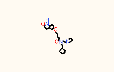 O=C(CCCCOc1ccc2[nH]c(=O)ccc2c1)N(CCC1CCCCC1)CCN1CCCC1